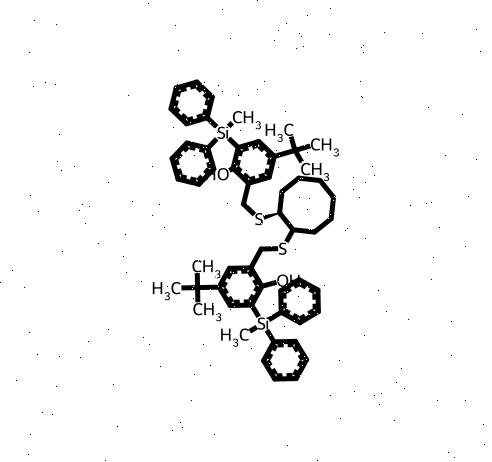 CC(C)(C)c1cc(CSC2CCCCCC[C@@H]2SCc2cc(C(C)(C)C)cc([Si](C)(c3ccccc3)c3ccccc3)c2O)c(O)c([Si](C)(c2ccccc2)c2ccccc2)c1